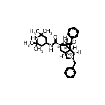 CC1(C)CC(NC(=O)[C@@]23C[C@@H]4CN(Cc5ccccc5)[C@@H]([C@@H]4C(=O)N2)[C@H]3Cc2ccccc2)CC(C)(C)N1